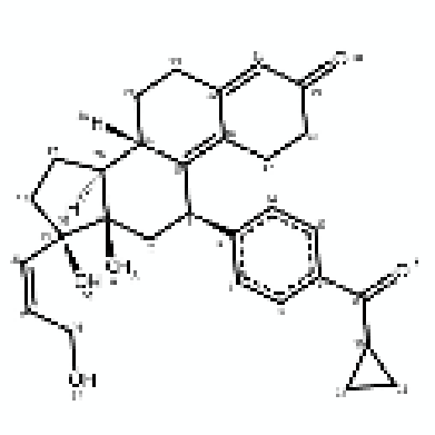 C[C@]12C[C@H](c3ccc(C(=O)C4CC4)cc3)C3=C4CCC(=O)C=C4CC[C@H]3[C@@H]1CC[C@@]2(O)/C=C\CO